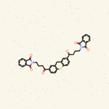 O=C(CCCN1C(=O)c2ccccc2C1=O)c1ccc2c(c1)Cc1cc(C(=O)CCCN3C(=O)c4ccccc4C3=O)ccc1S2